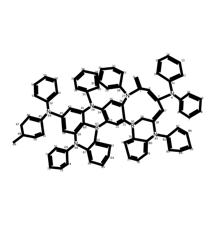 C=C1/C=C(N(c2ccccc2)c2ccccc2)\C=C2/CB(c3cc4c(cc3N1c1ccccc1)N(c1ccccc1)c1cc(N(C3=CCC(C)C=C3)c3ccccc3)cc3c1B4c1ccccc1N3c1ccccc1)c1ccccc1N2c1ccccc1